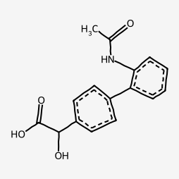 CC(=O)Nc1ccccc1-c1ccc(C(O)C(=O)O)cc1